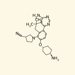 CC1(C)Cc2c(ccc(O[C@H]3CC[C@H](N)CC3)c2N2CCC(C#N)C2)-c2ncnc(N)c21